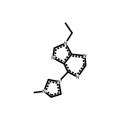 CCn1cnc2c(-[n+]3ccn(C)c3)ncnc21